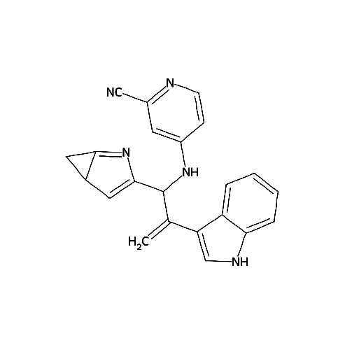 C=C(c1c[nH]c2ccccc12)C(Nc1ccnc(C#N)c1)C1=CC2CC2=N1